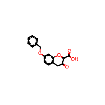 O=C(O)C1Oc2cc(OCc3ccccc3)ccc2CC1=O